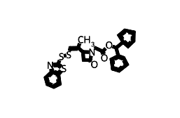 CC(=CSSc1nc2ccccc2s1)C1CC(=O)N1CC(=O)OC(c1ccccc1)c1ccccc1